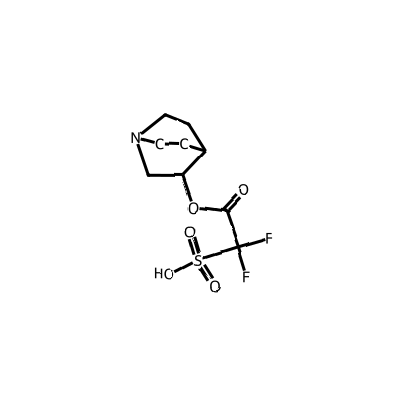 O=C(OC1CN2CCC1CC2)C(F)(F)S(=O)(=O)O